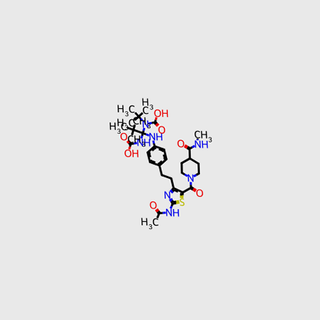 CNC(=O)C1CCN(C(=O)c2sc(NC(C)=O)nc2CCc2ccc(NC(NC(=O)O)(N(C(=O)O)C(C)(C)C)C(C)(C)C)cc2)CC1